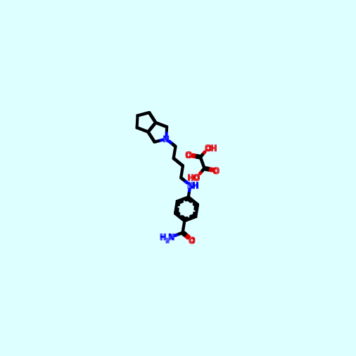 NC(=O)c1ccc(NCCCCN2CC3CCCC3C2)cc1.O=C(O)C(=O)O